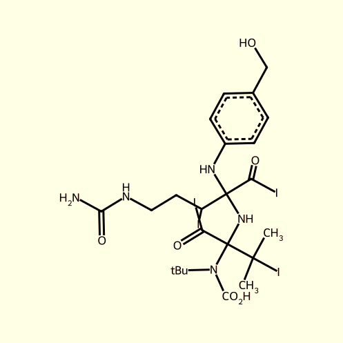 CC(C)(C)N(C(=O)O)C(NC(Nc1ccc(CO)cc1)(C(=O)I)C(I)CCNC(N)=O)(C(=O)I)C(C)(C)I